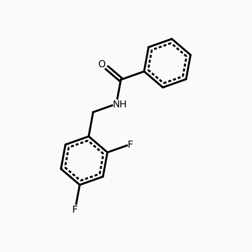 O=C(NCc1ccc(F)cc1F)c1ccccc1